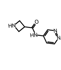 O=C(Nc1ccnnc1)C1CNC1